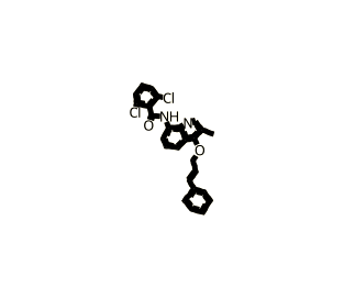 Cc1cnc2c(NC(=O)c3c(Cl)cccc3Cl)cccc2c1OCC=Cc1ccccc1